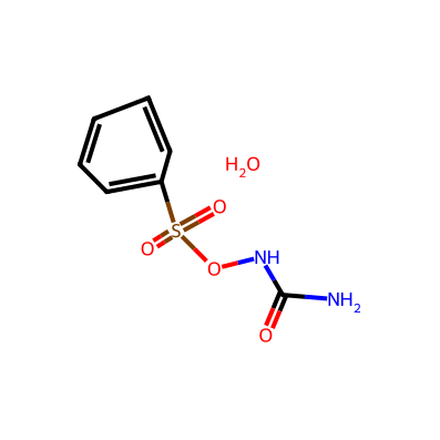 NC(=O)NOS(=O)(=O)c1ccccc1.O